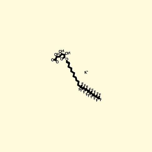 O=C([O-])[C@@H](O)[C@H]1O[C@@H](OC=CCCCCCCCCCC(F)(F)C(F)(F)C(F)(F)C(F)(F)C(F)(F)C(F)(F)C(F)(F)C(F)(F)F)[C@H](O)[C@H]1O.[K+]